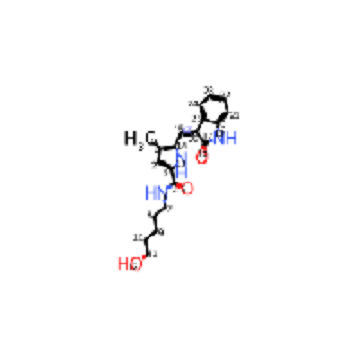 Cc1cc(C(=O)NCCCCCO)[nH]c1/C=C1\C(=O)Nc2ccccc21